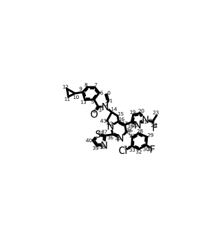 C=CN(C(=O)c1cccc(C2CC2)c1)C1CC2=C(c3ccn(C(C)F)n3)[C@H](c3ccc(F)cc3Cl)N=C(c3nccs3)N2C1